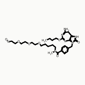 CCCCOC1=Nc2c([nH]c(=O)n2Cc2ccc(C(=O)N(C)CCCCCOCCOCCOCCN=O)cc2)CC(N)=N1